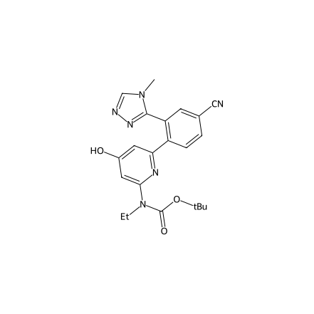 CCN(C(=O)OC(C)(C)C)c1cc(O)cc(-c2ccc(C#N)cc2-c2nncn2C)n1